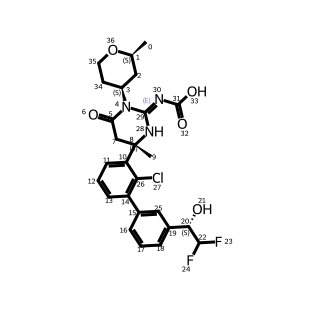 C[C@H]1C[C@@H](N2C(=O)C[C@@](C)(c3cccc(-c4cccc([C@H](O)C(F)F)c4)c3Cl)N/C2=N\C(=O)O)CCO1